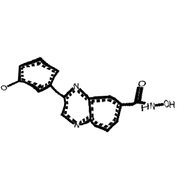 O=C(NO)c1ccc2ncc(-c3cccc(O)c3)nc2c1